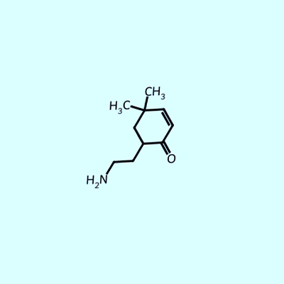 CC1(C)C=CC(=O)C(CCN)C1